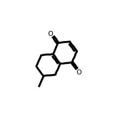 CC1CCC2=C(C1)C(=O)C=CC2=O